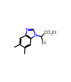 CCOC(=O)C(CC)n1cnc2cc(C)c(C)cc21